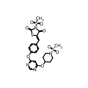 CS(=O)(=O)N1CCC(Oc2cc(Oc3ccc(/C=C4\SC(=O)N(S(C)(=O)=O)C4=O)cc3)ncn2)CC1